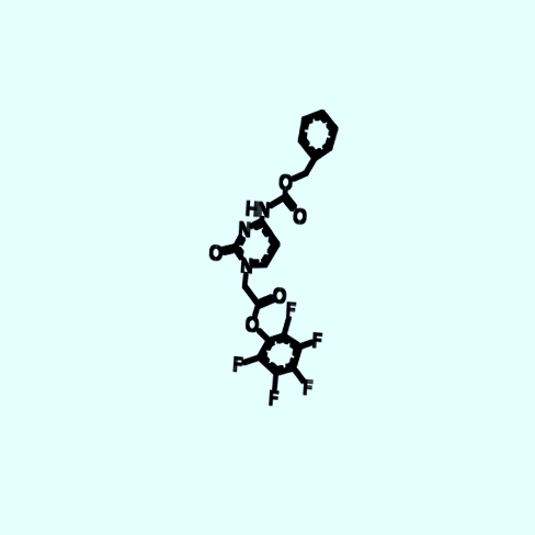 O=C(Cn1ccc(NC(=O)OCc2ccccc2)nc1=O)Oc1c(F)c(F)c(F)c(F)c1F